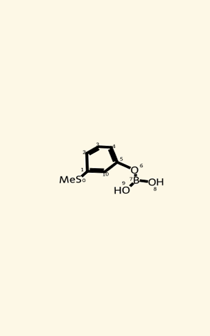 CSc1cccc(OB(O)O)c1